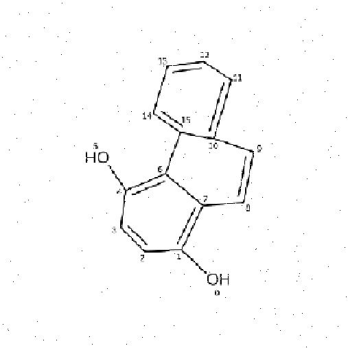 Oc1ccc(O)c2c1ccc1ccccc12